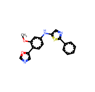 COc1cc(Nc2cnc(-c3ccccc3)s2)ccc1-c1cnco1